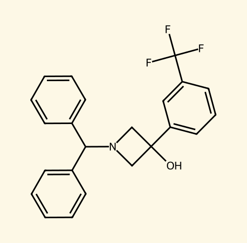 OC1(c2cccc(C(F)(F)F)c2)CN(C(c2ccccc2)c2ccccc2)C1